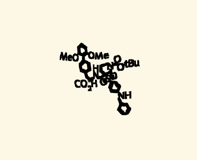 COc1cccc(OC)c1-c1ccc(C[C@H](NCC2(S(=O)(=O)c3ccc(NCc4ccccc4)cc3)CCCN(C(=O)OC(C)(C)C)C2)C(=O)O)cc1